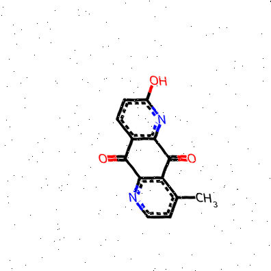 Cc1ccnc2c1C(=O)c1nc(O)ccc1C2=O